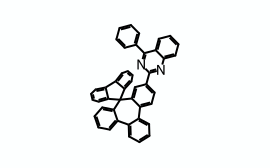 c1ccc(-c2nc(-c3ccc4c(c3)C3(c5ccccc5-c5ccccc5-4)c4ccccc4-c4ccccc43)nc3ccccc23)cc1